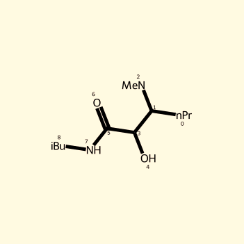 CCCC(NC)C(O)C(=O)NC(C)CC